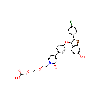 O=C(O)COCCOCCn1ccc(-c2ccc(Oc3c(-c4ccc(F)cc4)sc4cc(O)ccc34)cc2)cc1=O